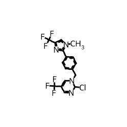 Cn1cc(C(F)(F)F)nc1-c1ccc(CN2C=C(C(F)(F)F)C=NC2Cl)cc1